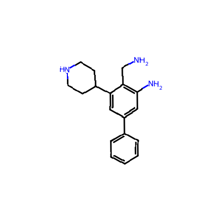 NCc1c(N)cc(-c2ccccc2)cc1C1CCNCC1